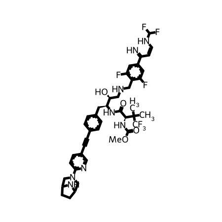 COC(=O)N[C@H](C(=O)N[C@@H](Cc1ccc(C#Cc2ccc(N3CC4CCC(C3)N4)nc2)cc1)[C@@H](O)CNCc1c(F)cc(C(=N)/C=C\NC(F)F)cc1F)C(C)(C)C(F)(F)F